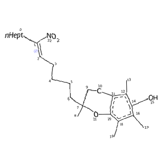 CCCCCCC/C(=C/CCCCC1(C)CCc2c(C)c(O)c(C)c(C)c2O1)[N+](=O)[O-]